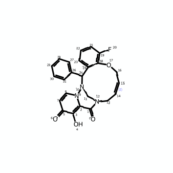 O=C1c2c(O)c(=O)ccn2N2CN1C/C=C\COc1c(F)cccc1C2c1ccccc1